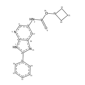 O=C(Nc1cnc2[nH]c(-c3ccccc3)nc2c1)OC1CCC1